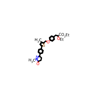 CCOC(=O)[C@H](Cc1ccc(OCc2sc(-c3ccc(C4=NN(C)C(=O)CC4)cc3)cc2C)cc1)OCC